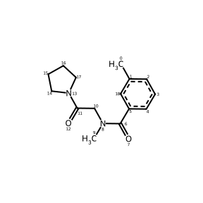 Cc1cccc(C(=O)N(C)CC(=O)N2CCCC2)c1